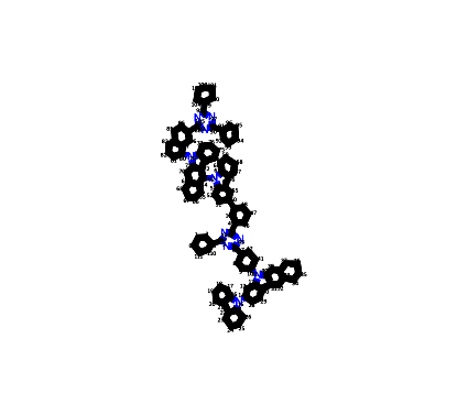 c1ccc(-c2nc(-c3ccc(-n4c5cc(-n6c7ccccc7c7ccccc76)ccc5c5cc6ccccc6cc54)cc3)nc(-c3cccc(-c4ccc5c(c4)c4ccccc4n5-c4c5ccccc5cc5c4c4ccccc4n5-c4cccc5ccc(-c6nc(-c7ccccc7)nc(-c7ccccc7)n6)cc45)c3)n2)cc1